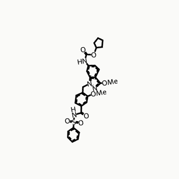 COc1cc(C(=O)NS(=O)(=O)c2ccccc2)ccc1Cn1nc(OC)c2ccc(NC(=O)OC3CCCC3)cc21